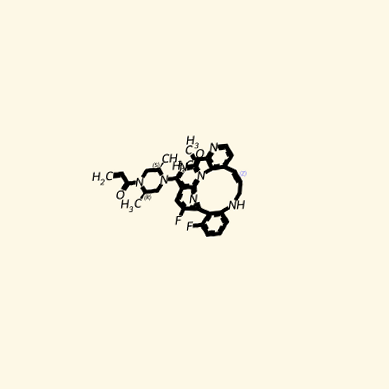 C=CC(=O)N1C[C@H](C)N(c2nc(=O)n3c4nc(c(F)cc24)-c2c(F)cccc2NC/C=C\c2ccnc(C(C)C)c2-3)C[C@H]1C